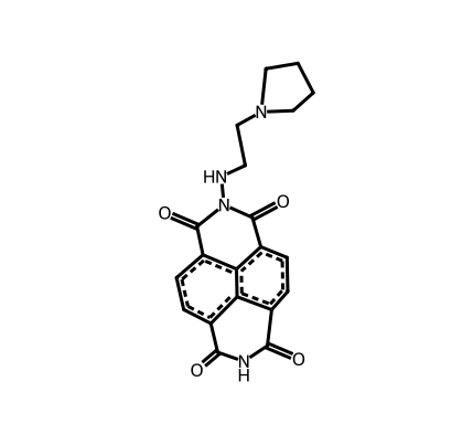 O=C1NC(=O)c2ccc3c4c(ccc1c24)C(=O)N(NCCN1CCCC1)C3=O